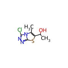 Cc1c(C(C)O)sc2nnc(Cl)n12